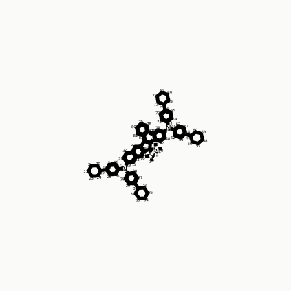 C[Si](C)(C)C1([Si](C)(C)C)c2cc3cc(N(c4ccc(C5CCCCC5)cc4)c4ccc(C5CCCCC5)cc4)ccc3cc2-c2c1c1ccc(N(c3ccc(C4CCCCC4)cc3)c3ccc(C4CCCCC4)cc3)cc1c1ccccc21